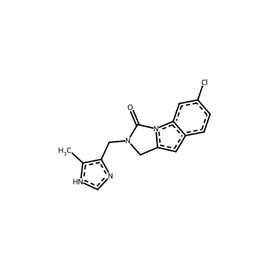 Cc1[nH]cnc1CN1Cc2cc3ccc(Cl)cc3n2C1=O